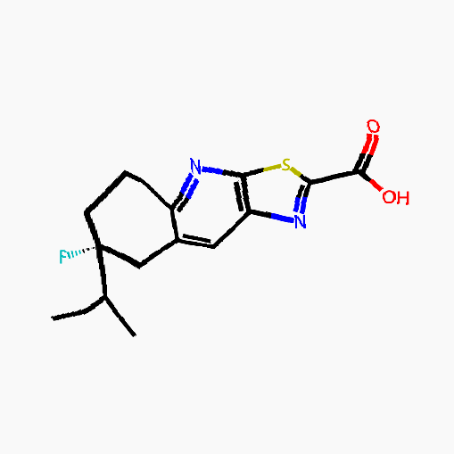 CC(C)[C@@]1(F)CCc2nc3sc(C(=O)O)nc3cc2C1